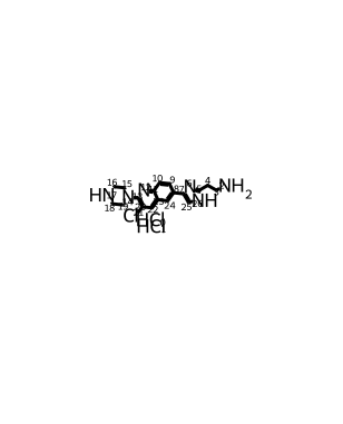 Cl.Cl.NCCc1nc(-c2ccc3nc(N4CCNCC4)c(Cl)cc3c2)c[nH]1